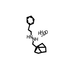 O.O.c1ccc(CCNNCC2C3CC4CC(C3)CC2C4)cc1